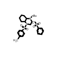 CCCCN1C2CCCCC2N(S(=O)(=O)c2ccc(C)cc2)C[C@H]1CS(=O)(=O)c1ccccc1